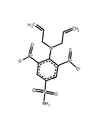 C=CCN(CC=C)c1c([N+](=O)[O-])cc(S(N)(=O)=O)cc1[N+](=O)[O-]